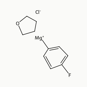 C1CCOC1.Fc1cc[c]([Mg+])cc1.[Cl-]